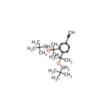 C#Cc1ccc(C(C)(C)O[SiH2]C(C)(C)C)c(C(C)(C)O[SiH2]C(C)(C)C)c1